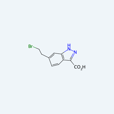 O=C(O)c1n[nH]c2cc(CCBr)ccc12